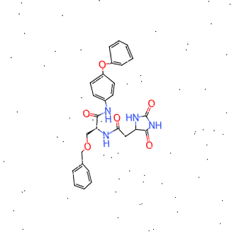 O=C(CC1NC(=O)NC1=O)N[C@@H](COCc1ccccc1)C(=O)Nc1ccc(Oc2ccccc2)cc1